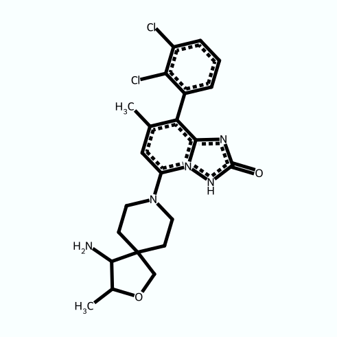 Cc1cc(N2CCC3(CC2)COC(C)C3N)n2[nH]c(=O)nc2c1-c1cccc(Cl)c1Cl